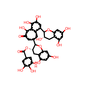 O=C(O[C@H]1Cc2c(O)cc(O)cc2OC1c1cc(=O)c(O)c2c(O)c(O)cc(C3Oc4cc(O)cc(O)c4C[C@@H]3O)c2c1)c1cc(O)c(O)c(O)c1